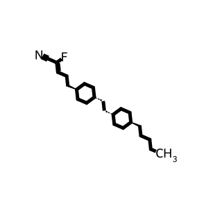 CCCCC[C@H]1CC[C@H](CC[C@H]2CC[C@H](CCC=C(F)C#N)CC2)CC1